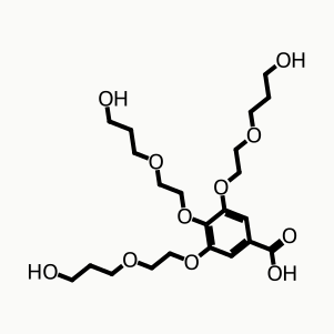 O=C(O)c1cc(OCCOCCCO)c(OCCOCCCO)c(OCCOCCCO)c1